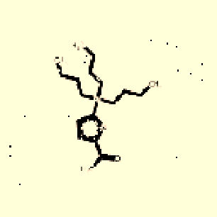 CCC[CH2][Sn]([CH2]CCC)([CH2]CCC)[c]1ccc(C(C)=O)s1